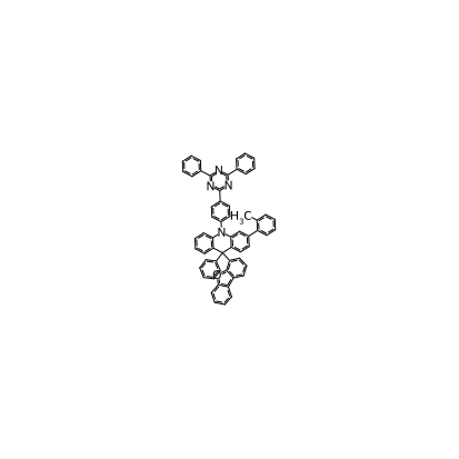 Cc1ccccc1-c1ccc2c(c1)N(c1ccc(-c3nc(-c4ccccc4)nc(-c4ccccc4)n3)cc1)c1ccccc1C2(c1ccccc1)c1cccc2c1oc1ccccc12